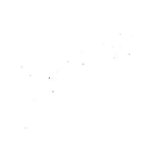 c1ccc(N(c2ccc3c(c2)sc2ccccc23)c2ccc3c(c2)sc2cc4cc5c(cc4cc23)sc2ccccc25)cc1